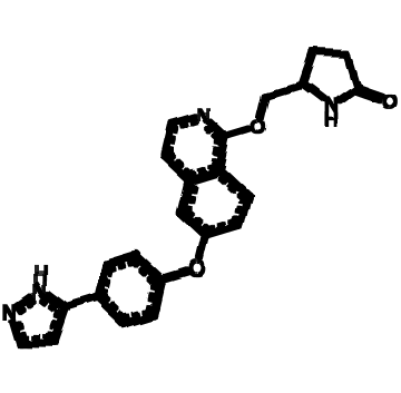 O=C1CCC(COc2nccc3cc(Oc4ccc(-c5ccn[nH]5)cc4)ccc23)N1